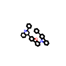 C1=CC2=C(CC1)N=C(c1ccccc1)CC2c1ccc2c(c1)oc1c(-n3c4ccccc4c4ccc(-c5ccccc5)cc43)cccc12